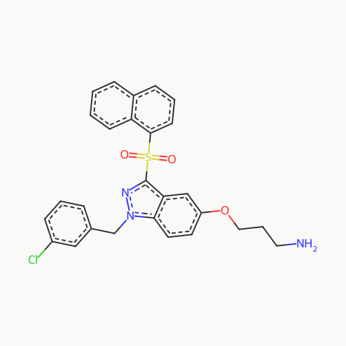 NCCCOc1ccc2c(c1)c(S(=O)(=O)c1cccc3ccccc13)nn2Cc1cccc(Cl)c1